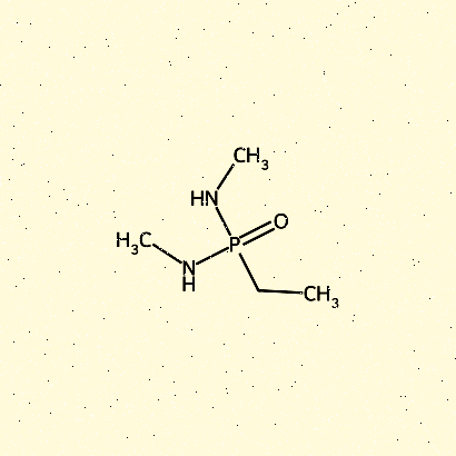 CCP(=O)(NC)NC